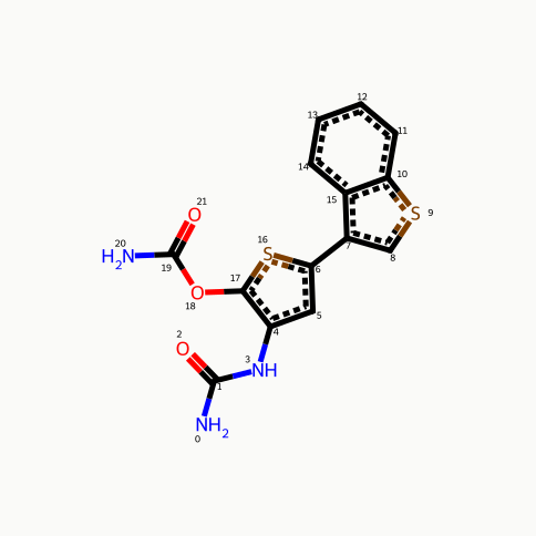 NC(=O)Nc1cc(-c2csc3ccccc23)sc1OC(N)=O